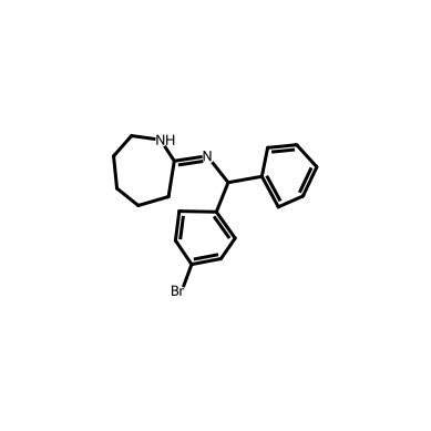 Brc1ccc(C(N=C2CCCCCN2)c2ccccc2)cc1